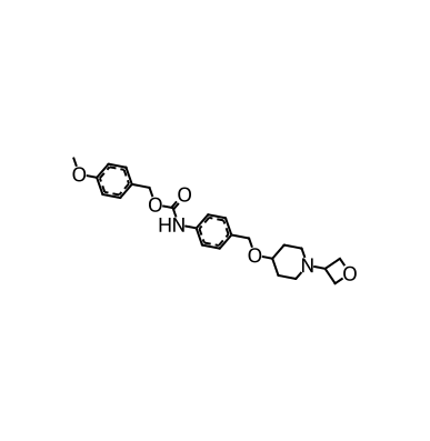 COc1ccc(COC(=O)Nc2ccc(COC3CCN(C4COC4)CC3)cc2)cc1